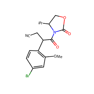 COc1cc(Br)ccc1C(CC#N)C(=O)N1C(=O)OCC1C(C)C